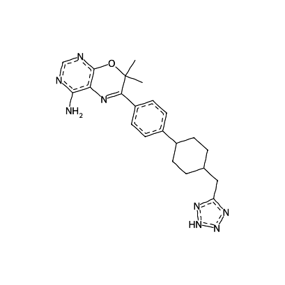 CC1(C)Oc2ncnc(N)c2N=C1c1ccc(C2CCC(Cc3nn[nH]n3)CC2)cc1